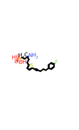 CC(N)(CCc1ccc(C#CCCCc2ccc(F)cc2)s1)CCP(=O)(O)O